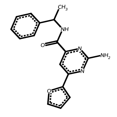 CC(NC(=O)c1cc(-c2ccco2)nc(N)n1)c1ccccc1